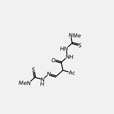 CNC(=S)NN=CC(C(C)=O)C(=O)NNC(=S)NC